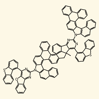 CC1(Cc2ccc3c(c2)c2ccccc2c2ccc4c(c23)c2c3ccccc3ccc2n4-c2nc(-c3cccc4sc5ccccc5c34)c3oc4ccccc4c3n2)c2ccccc2-c2nc(-n3c4ccc5ccccc5c4c4c5c6ccccc6c6ccccc6c5ccc43)nc(-c3cccc4sc5ccccc5c34)c21